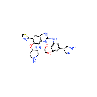 Cn1cc(-c2cc(Nc3ncc4cc(-c5nccs5)c(OC5CCNCC5)cc4n3)cc(OCC(N)=O)c2)cn1